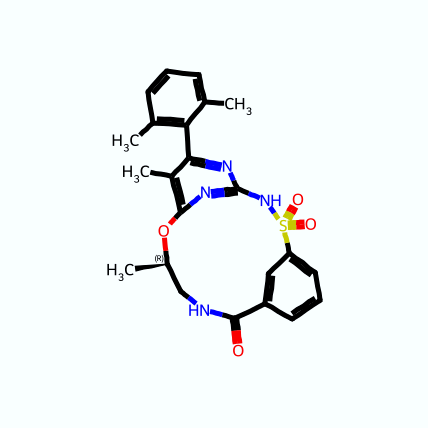 Cc1cccc(C)c1-c1nc2nc(c1C)O[C@H](C)CNC(=O)c1cccc(c1)S(=O)(=O)N2